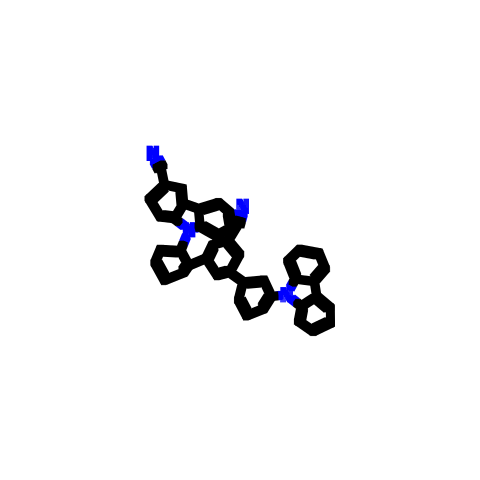 N#Cc1cc(-c2cccc(-n3c4ccccc4c4ccccc43)c2)cc(-c2ccccc2-n2c3ccccc3c3cc(C#N)ccc32)c1